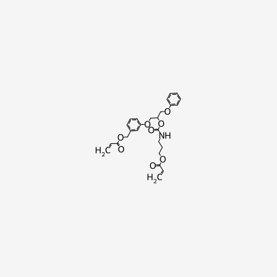 C=CC(=O)OCCCNC(=O)OC(COc1ccccc1)COc1cccc(COC(=O)C=C)c1